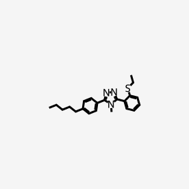 CCCCCc1ccc(-c2nnc(-c3ccccc3SCC)n2C)cc1